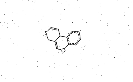 C1=CC2C(=COc3ccccc32)CS1